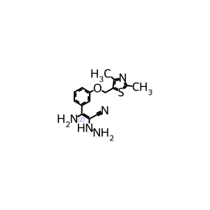 Cc1nc(C)c(COc2cccc(/C(N)=C(\C#N)NN)c2)s1